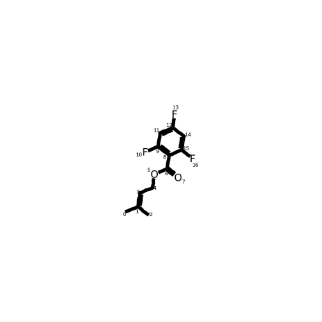 CC(C)=CCOC(=O)c1c(F)cc(F)cc1F